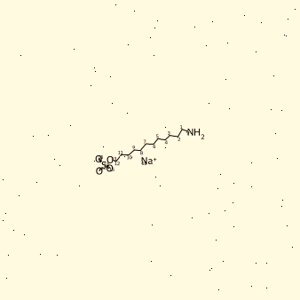 NCCCCCCCCCCCCOS(=O)(=O)[O-].[Na+]